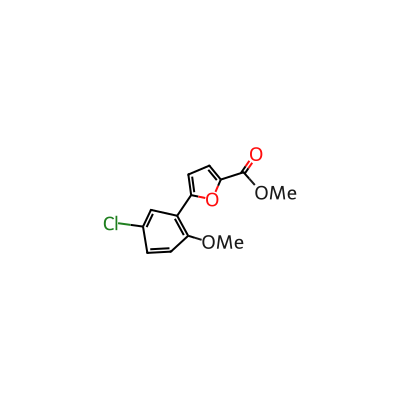 COC(=O)c1ccc(-c2cc(Cl)ccc2OC)o1